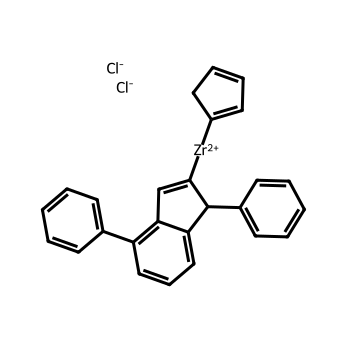 C1=CC[C]([Zr+2][C]2=Cc3c(-c4ccccc4)cccc3C2c2ccccc2)=C1.[Cl-].[Cl-]